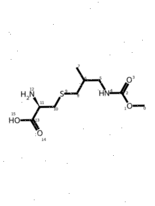 COC(=O)NCC(C)CSC[C@H](N)C(=O)O